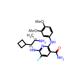 COc1ccc(Nc2nc(N[C@H](C3CCC3)[C@H](C)N)c(F)cc2C(N)=O)cc1OC